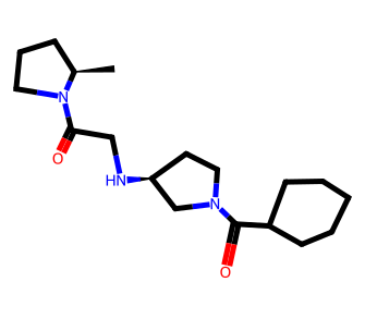 C[C@@H]1CCCN1C(=O)CN[C@H]1CCN(C(=O)C2CCCCC2)C1